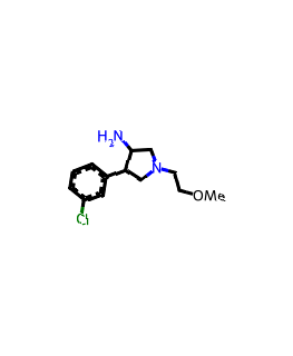 COCCN1CC(N)C(c2cccc(Cl)c2)C1